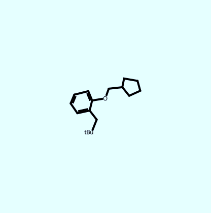 CC(C)(C)Cc1ccccc1OCC1CCCC1